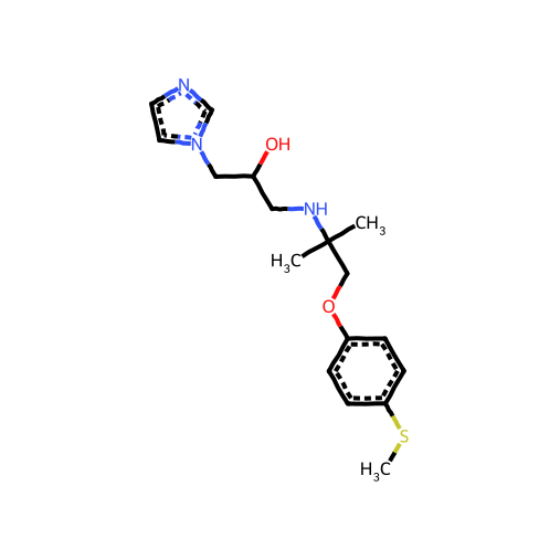 CSc1ccc(OCC(C)(C)NCC(O)Cn2ccnc2)cc1